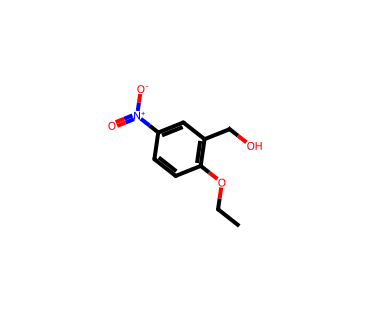 CCOc1ccc([N+](=O)[O-])cc1[CH]O